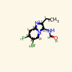 CCc1nc2cc(F)c(Br)cn2c1NC=O